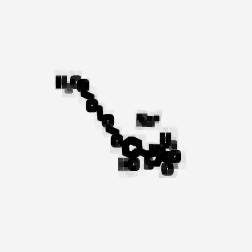 COCCOCCOCCOc1ccc(C2=N[C@@](C)(C(=O)[O-])CS2)c(O)c1.[Na+]